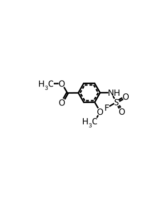 COC(=O)c1ccc(NS(=O)(=O)F)c(OC)c1